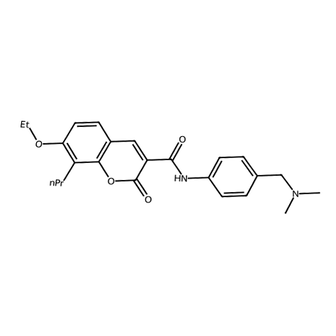 CCCc1c(OCC)ccc2cc(C(=O)Nc3ccc(CN(C)C)cc3)c(=O)oc12